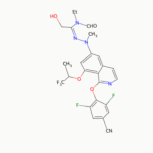 CCN(C=O)/C(CO)=N\N(C)c1cc(OC(C)C(F)(F)F)c2c(Oc3c(F)cc(C#N)cc3F)nccc2c1